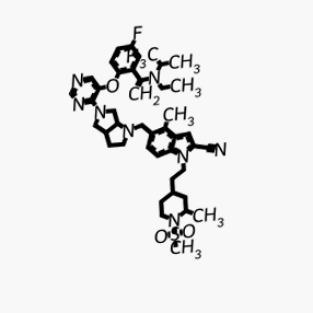 C=C(c1cc(F)ccc1Oc1cncnc1N1CC2CCN(Cc3ccc4c(cc(C#N)n4CCC4CCN(S(C)(=O)=O)C(C)C4)c3C)C2C1)N(CC)C(C)C